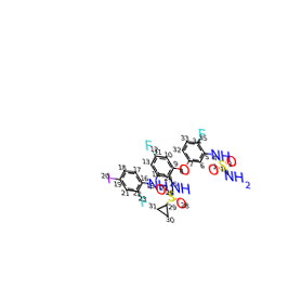 NS(=O)(=O)Nc1cc(Oc2cc(F)cc(Nc3ccc(I)cc3F)c2NS(=O)(=O)C2CC2)ccc1F